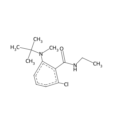 CCNC(=O)c1c(Cl)cccc1N(C)C(C)(C)C